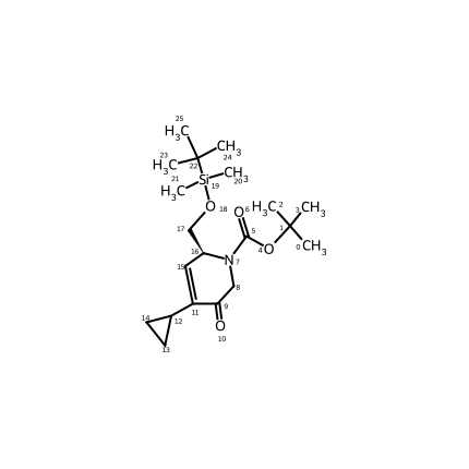 CC(C)(C)OC(=O)N1CC(=O)C(C2CC2)=C[C@H]1CO[Si](C)(C)C(C)(C)C